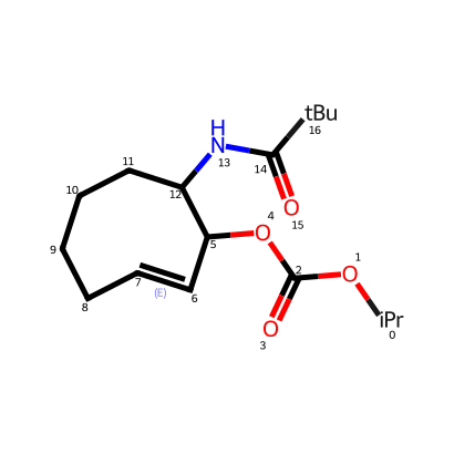 CC(C)OC(=O)OC1/C=C/CCCCC1NC(=O)C(C)(C)C